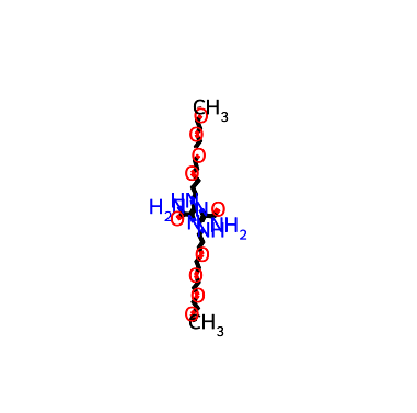 COCCOCCOCCOCCCNc1nc(C(N)=O)c(NCCCOCCOCCOCCOC)nc1C(N)=O